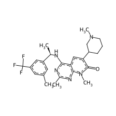 Cc1cc([C@@H](C)Nc2nc(C)nc3c2cc(C2CCCN(C)C2)c(=O)n3C)cc(C(F)(F)F)c1